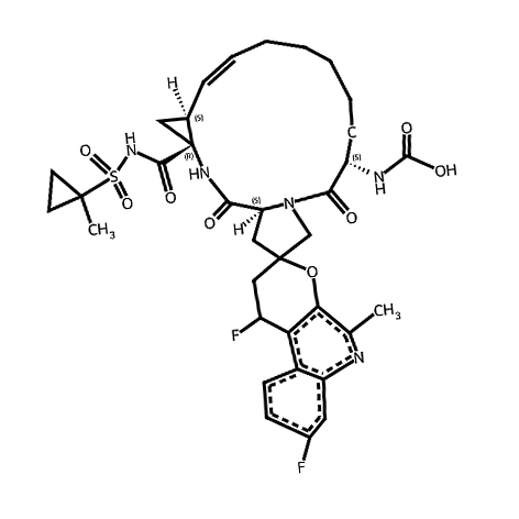 Cc1nc2cc(F)ccc2c2c1OC1(CC2F)C[C@H]2C(=O)N[C@]3(C(=O)NS(=O)(=O)C4(C)CC4)C[C@H]3C=CCCCCC[C@H](NC(=O)O)C(=O)N2C1